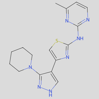 Cc1ccnc(Nc2nc(-c3c[nH]nc3N3CCCCC3)cs2)n1